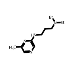 CCN(CC)CCCNc1cncc(C)n1